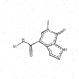 CCNC(=O)c1cn(C)c(=O)c2[nH]ncc12